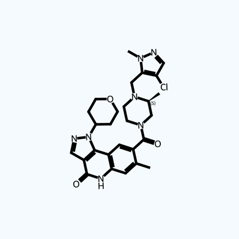 Cc1cc2[nH]c(=O)c3cnn(C4CCOCC4)c3c2cc1C(=O)N1CCN(Cc2c(Cl)cnn2C)[C@@H](C)C1